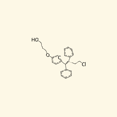 OCCCOc1ccc(C(=C(CCCl)c2ccccc2)c2ccccc2)cc1